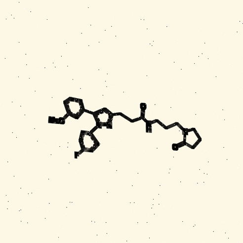 COc1cccc(-c2cc(CCC(=O)NCCCN3CCCC3=O)nn2-c2ccc(F)cc2)c1